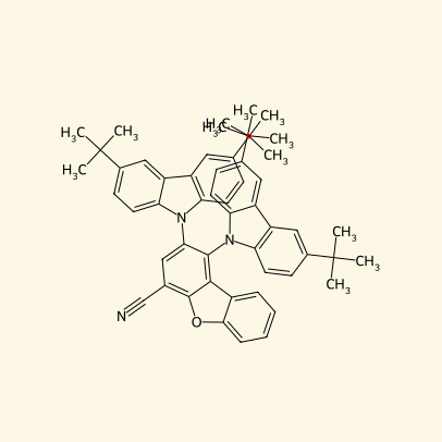 CC(C)(C)c1ccc2c(c1)c1cc(C(C)(C)C)ccc1n2-c1cc(C#N)c2oc3ccccc3c2c1-n1c2ccc(C(C)(C)C)cc2c2cc(C(C)(C)C)ccc21